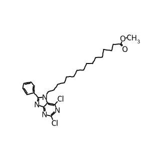 COC(=O)CCCCCCCCCCCCCCCn1c(-c2ccccc2)nc2nc(Cl)nc(Cl)c21